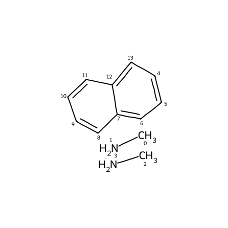 CN.CN.c1ccc2ccccc2c1